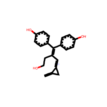 C=C1C/C1=C/C(CCO)=C(c1ccc(O)cc1)c1ccc(O)cc1